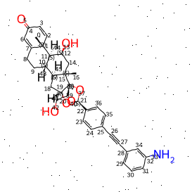 C[C@]12C=CC(=O)C=C1CC[C@@H]1[C@@H]2[C@@H](O)C[C@@]2(C)[C@H]1C[C@H]1O[C@H](c3ccc(C#Cc4cccc(N)c4)cc3)O[C@]12C(=O)CO